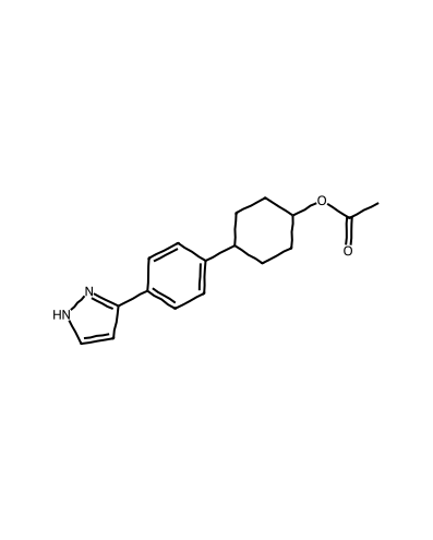 CC(=O)OC1CCC(c2ccc(-c3cc[nH]n3)cc2)CC1